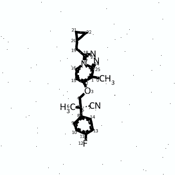 Cc1c(OC[C@@](C)(C#N)c2ccc(F)cc2)ccn2c(CC3CC3)nnc12